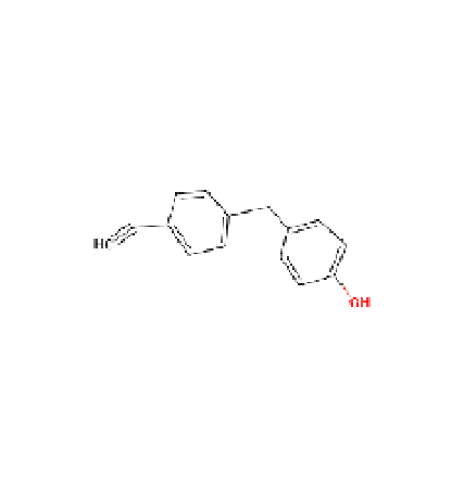 C#Cc1ccc(Cc2ccc(O)cc2)cc1